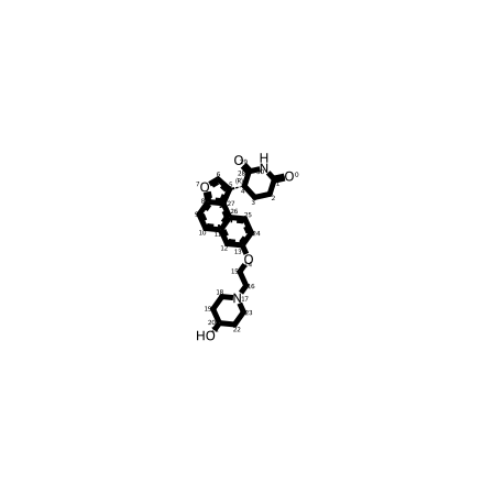 O=C1CC[C@H](c2coc3ccc4cc(OCCN5CCC(O)CC5)ccc4c23)C(=O)N1